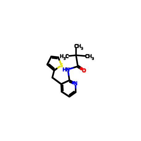 CC(C)(C)C(=O)Nc1ncccc1Cc1cccs1